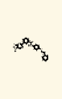 O=C(Nc1ccc(OCCc2ccccc2)cc1)c1cccc(-c2ncc3[nH]nnc3n2)c1